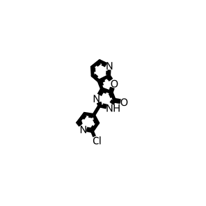 O=c1[nH]c(-c2ccnc(Cl)c2)nc2c1oc1ncccc12